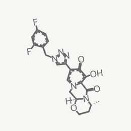 C[C@@H]1CCO[C@H]2Cn3cc(-c4cn(Cc5ccc(F)cc5F)nn4)c(=O)c(O)c3C(=O)N12